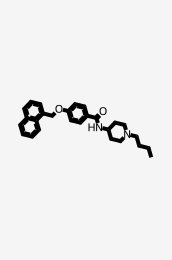 CCCCN1CCC(NC(=O)c2ccc(OCc3cccc4ccccc34)cc2)CC1